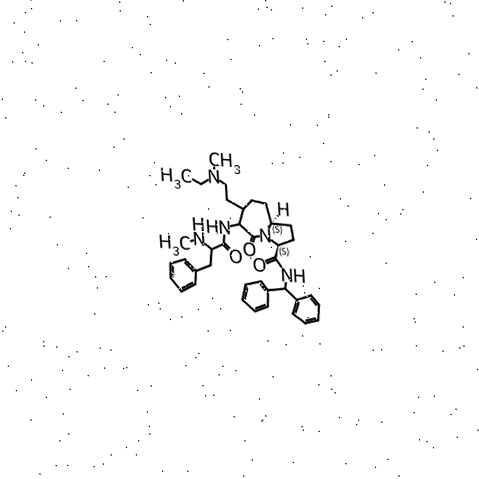 CCN(C)CCC1CC[C@H]2CC[C@@H](C(=O)NC(c3ccccc3)c3ccccc3)N2C(=O)C1NC(=O)C(Cc1ccccc1)NC